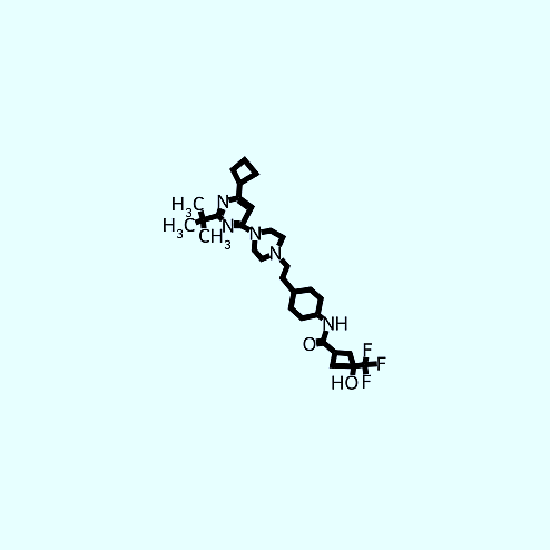 CC(C)(C)c1nc(C2CCC2)cc(N2CCN(CCC3CCC(NC(=O)C4CC(O)(C(F)(F)F)C4)CC3)CC2)n1